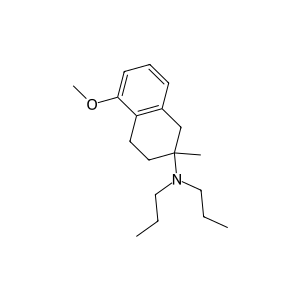 CCCN(CCC)C1(C)CCc2c(cccc2OC)C1